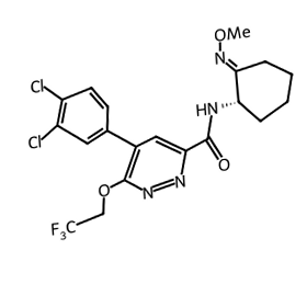 CO/N=C1\CCCC[C@@H]1NC(=O)c1cc(-c2ccc(Cl)c(Cl)c2)c(OCC(F)(F)F)nn1